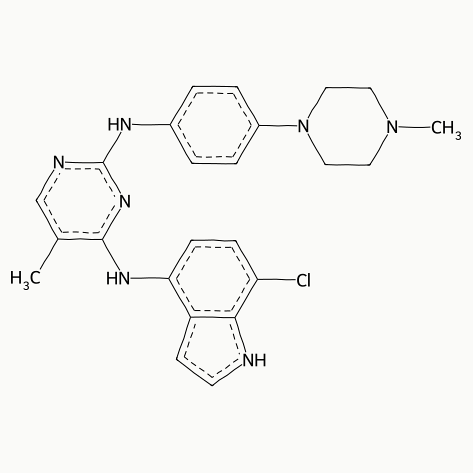 Cc1cnc(Nc2ccc(N3CCN(C)CC3)cc2)nc1Nc1ccc(Cl)c2[nH]ccc12